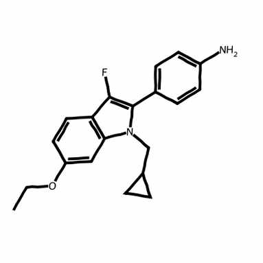 CCOc1ccc2c(F)c(-c3ccc(N)cc3)n(CC3CC3)c2c1